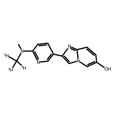 [3H]C([3H])([3H])N(C)c1ccc(-c2cn3cc(O)ccc3n2)cn1